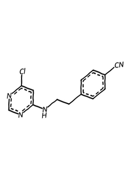 N#Cc1ccc(CCNc2cc(Cl)ncn2)cc1